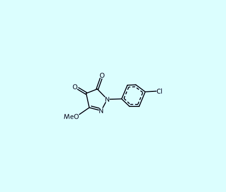 COC1=NN(c2ccc(Cl)cc2)C(=O)C1=O